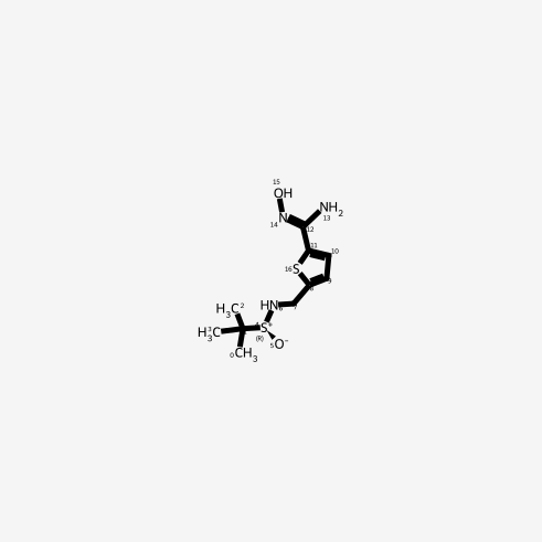 CC(C)(C)[S@+]([O-])NCc1ccc(C(N)=NO)s1